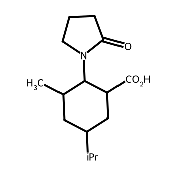 CC(C)C1CC(C)C(N2CCCC2=O)C(C(=O)O)C1